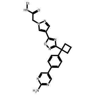 CCNC(=O)Cn1cc(-c2nc(C3(c4ccc(-c5cnc(N)nc5)cc4)CCC3)no2)cn1